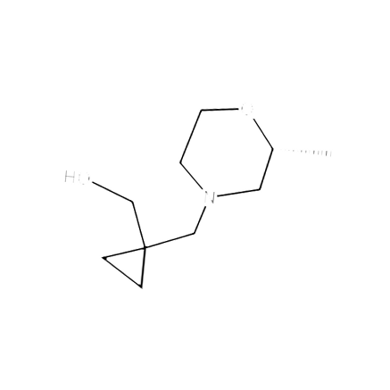 C[C@@H]1CN(CC2(CO)CC2)CCO1